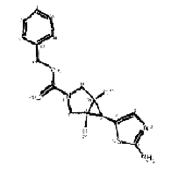 Nc1ncc([C@H]2[C@@H]3CN(C(=O)OCc4ccccc4)C[C@@H]32)s1